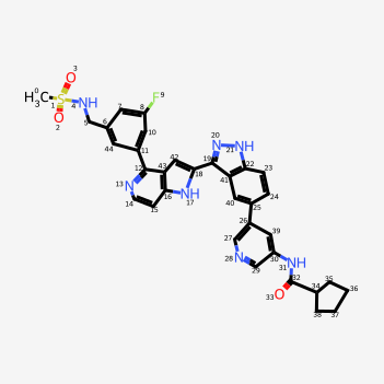 CS(=O)(=O)NCc1cc(F)cc(-c2nccc3[nH]c(-c4n[nH]c5ccc(-c6cncc(NC(=O)C7CCCC7)c6)cc45)cc23)c1